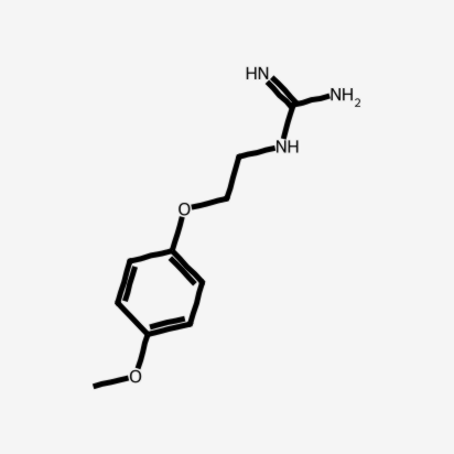 COc1ccc(OCCNC(=N)N)cc1